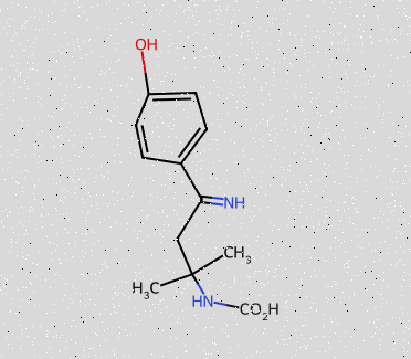 CC(C)(CC(=N)c1ccc(O)cc1)NC(=O)O